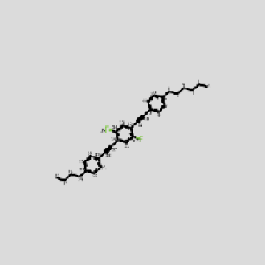 CCCCCCc1ccc(C#Cc2cc(F)c(C#Cc3ccc(CCCC)cc3)cc2F)cc1